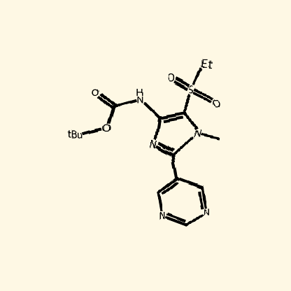 CCS(=O)(=O)c1c(NC(=O)OC(C)(C)C)nc(-c2cncnc2)n1C